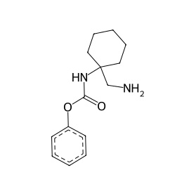 NCC1(NC(=O)Oc2ccccc2)CCCCC1